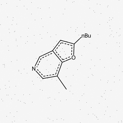 CCCCc1cc2cncc(C)c2o1